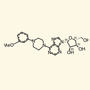 COc1cccc(N2CCN(c3ncnc4c3ncn4[C@@H]3O[C@H](CO)[C@@H](O)[C@H]3O)CC2)c1